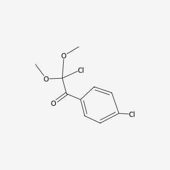 COC(Cl)(OC)C(=O)c1ccc(Cl)cc1